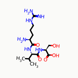 CC(C)[C@H](NC(=O)[C@@H](N)CCCNC(=N)N)C(=O)N[C@@H](CO)C(=O)O